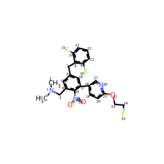 CN(C)Cc1[c]c(Cc2c(F)cccc2F)cc(-c2ccc(OCCF)nc2)c1[N+](=O)[O-]